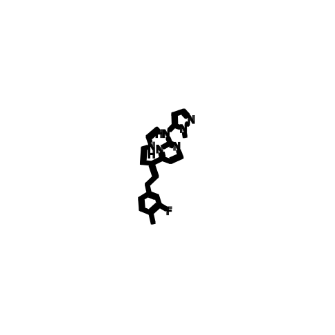 C=CN/C=C\C(=C/Cc1ccc(C)c(F)c1)c1ccnc(Nc2ccnn2C)n1